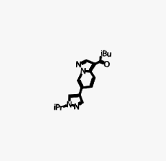 CCC(C)C(=O)c1cnn2cc(-c3cnn(C(C)C)c3)ccc12